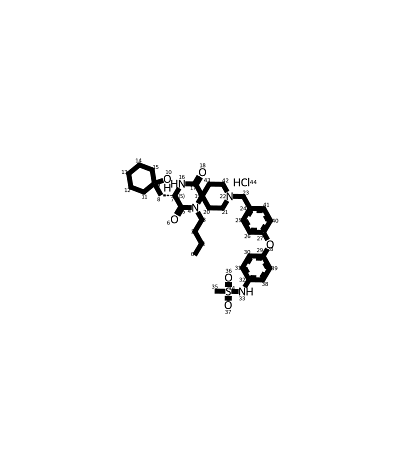 CCCCN1C(=O)[C@H](CC2(O)CCCCC2)NC(=O)C12CCN(Cc1ccc(Oc3ccc(NS(C)(=O)=O)cc3)cc1)CC2.Cl